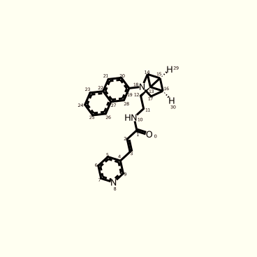 O=C(/C=C/c1cccnc1)NCC[C@@]12C3[C@H]1[C@H]2CN3c1ccc2ccccc2c1